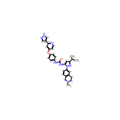 CC(C)c1cc(NC(=O)Nc2ccc(Oc3ccnc(-c4cn[nH]c4)c3)cc2)n(-c2ccc3c(c2)CCN(C)C3)n1